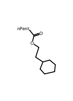 CCCCCC(=O)OCCC1CCCCC1